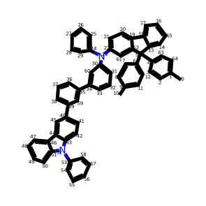 Cc1ccc(C2(c3ccc(C)cc3)c3ccccc3-c3ccc(N(c4ccccc4)c4cccc(-c5cccc(-c6ccc7c(c6)c6ccccc6n7-c6ccccc6)c5)c4)cc32)cc1